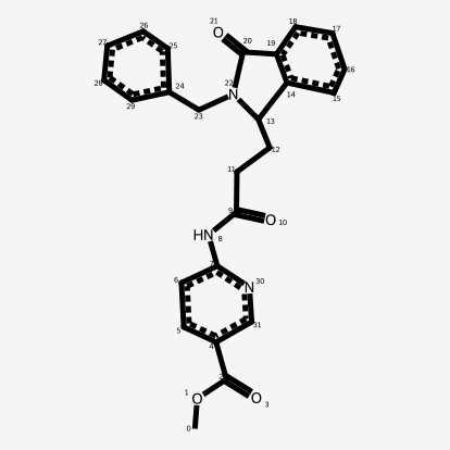 COC(=O)c1ccc(NC(=O)CCC2c3ccccc3C(=O)N2Cc2ccccc2)nc1